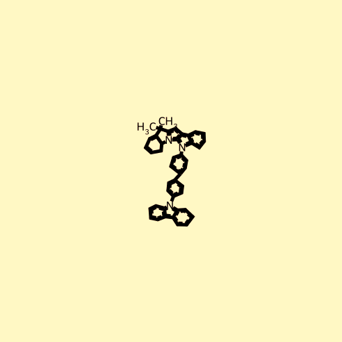 CC1(C)C2=CC=CCC2n2c1cc1c3ccccc3n(-c3ccc(-c4ccc(-n5c6ccccc6c6ccccc65)cc4)cc3)c12